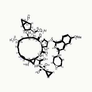 COc1ccc2c(O[C@@H]3C[C@H]4C(=O)N[C@]5(C(=O)NS(=O)(=O)C6CC6)C[C@H]5/C=C\CC[C@H](C)C[C@@H](C)[C@H](N(C(=O)O)[C@H]5CC6C[C@H]6C5)C(=O)N4C3)nc(N3CCOCC3)cc2c1